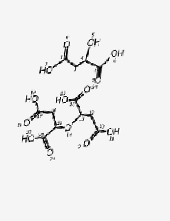 O=C(O)CC(O)C(=O)O.O=C(O)CC(OC(CC(=O)O)C(=O)O)C(=O)O